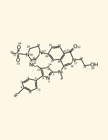 CN(c1nc(-c2ccc(F)cc2)c(C#N)s1)c1cn(CCO)c(=O)c2ccc(N3CCN(S(C)(=O)=O)CC3)cc12